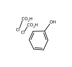 O=C(O)Cl.O=C(O)Cl.Oc1ccccc1